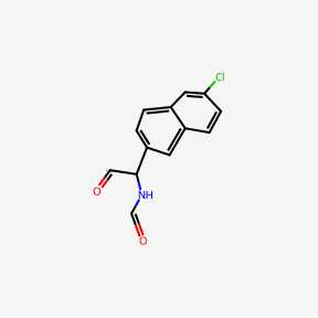 O=[C]C(NC=O)c1ccc2cc(Cl)ccc2c1